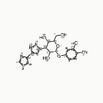 N#Cc1ccc(SC2OC(CO)C(O)C(n3cc(-c4cscn4)nn3)C2O)cc1Cl